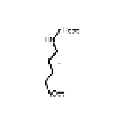 CCCCCCCCCCCCNCCCCCCC.I